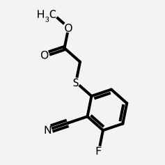 COC(=O)CSc1cccc(F)c1C#N